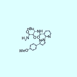 CCCCC(NC(=O)c1cccnc1-n1ccc(-c2ccc(OC)cc2)n1)C(=O)C(N)=O